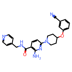 N#Cc1cccc(OC2CCN(c3ccc(C(=O)NCc4ccncc4)c(N)n3)CC2)c1